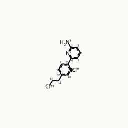 Cl.Nc1cccc(-c2ccc(CCCl)cc2)n1